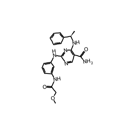 COCC(=O)Nc1cccc(Nc2ncc(C(N)=O)c(N[C@H](C)c3ccccc3)n2)c1